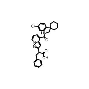 O=C(NCC1(c2ccc(Cl)cc2)CCCCC1)c1cccn2nc(C(Cc3ccccc3)C(=O)O)cc12